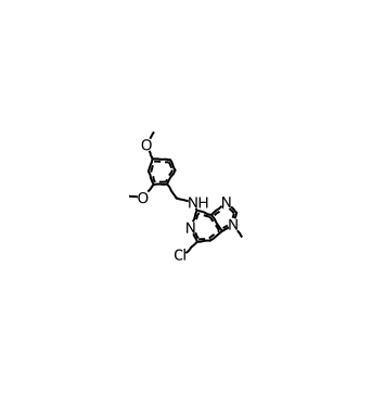 COc1ccc(CNc2nc(Cl)cc3c2ncn3C)c(OC)c1